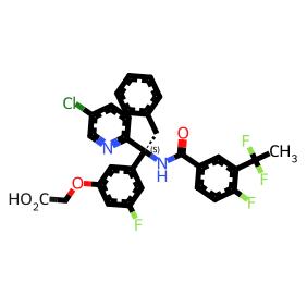 CC(F)(F)c1cc(C(=O)N[C@@](Cc2ccccc2)(c2cc(F)cc(OCC(=O)O)c2)c2ccc(Cl)cn2)ccc1F